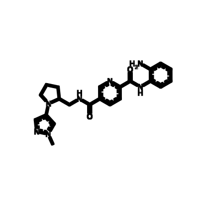 Cn1cc(N2CCCC2CNC(=O)c2ccc(C(=O)Nc3ccccc3N)nc2)cn1